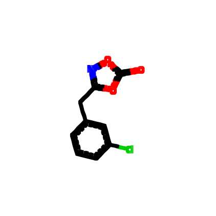 O=c1onc(Cc2cccc(Cl)c2)o1